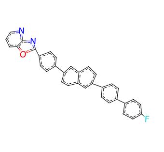 Fc1ccc(-c2ccc(-c3ccc4cc(-c5ccc(-c6nc7ncccc7o6)cc5)ccc4c3)cc2)cc1